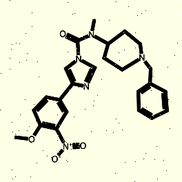 COc1ccc(-c2cn(C(=O)N(C)C3CCN(Cc4ccccc4)CC3)cn2)cc1[N+](=O)[O-]